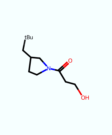 CC(C)(C)CC1CCN(C(=O)CCO)C1